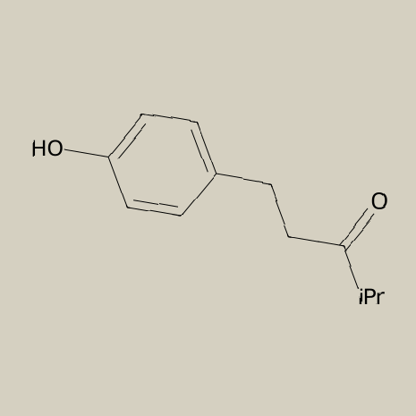 CC(C)C(=O)CCc1ccc(O)cc1